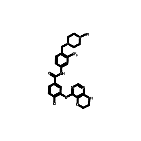 CC(C)N1CCN(Cc2ccc(NC(=O)c3ccc(Cl)c(Oc4ncnc5c4OCCN5)c3)cc2C(F)(F)F)CC1